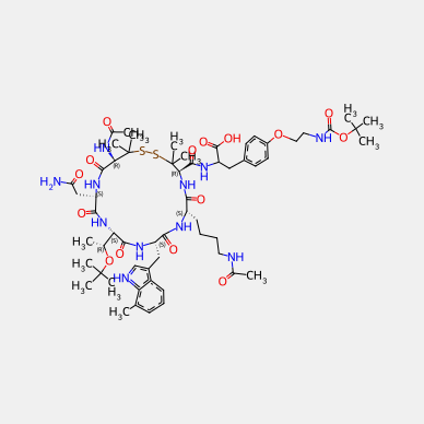 CC(=O)NCCCC[C@@H]1NC(=O)[C@H](Cc2c[nH]c3c(C)cccc23)NC(=O)[C@H]([C@@H](C)OC(C)(C)C)NC(=O)[C@H](CC(N)=O)NC(=O)[C@@H](NC(C)=O)C(C)(C)SSC(C)(C)[C@@H](C(=O)NC(Cc2ccc(OCCNC(=O)OC(C)(C)C)cc2)C(=O)O)NC1=O